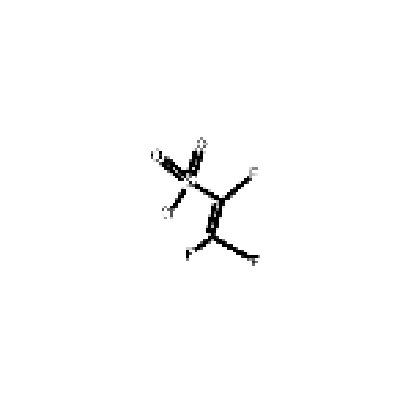 O=S(=O)(Cl)C(F)=C(F)F